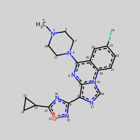 CN1CCN(c2nc3c(-c4noc(C5CC5)n4)ncn3c3ccc(F)cc23)CC1